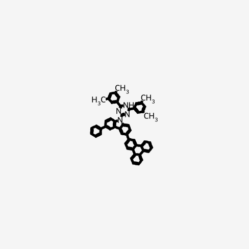 Cc1cc(C)cc(C2=NC(n3c4ccc(-c5ccccc5)cc4c4cc(-c5ccc6c7ccccc7c7ccccc7c6c5)ccc43)=NC(c3cc(C)cc(C)c3)N2)c1